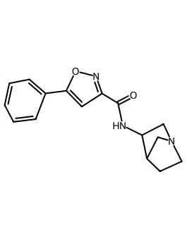 O=C(NC1CN2CCC1C2)c1cc(-c2ccccc2)on1